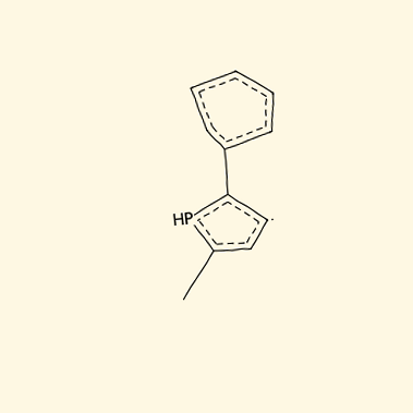 Cc1c[c]c(-c2ccccc2)[pH]1